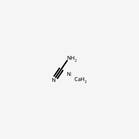 N#CN.[CaH2].[N]